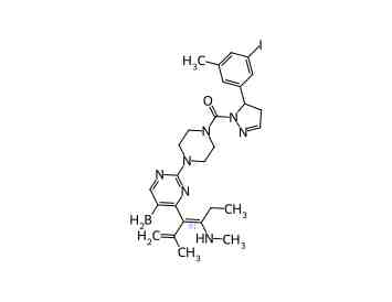 Bc1cnc(N2CCN(C(=O)N3N=CCC3c3cc(C)cc(I)c3)CC2)nc1/C(C(=C)C)=C(\CC)NC